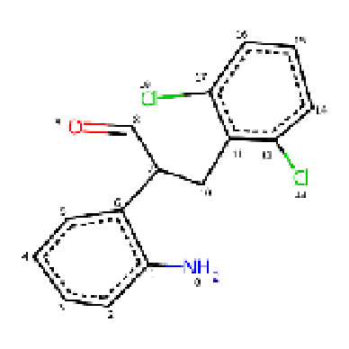 Nc1ccccc1C(C=O)Cc1c(Cl)cccc1Cl